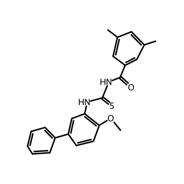 COc1ccc(-c2ccccc2)cc1NC(=S)NC(=O)c1cc(C)cc(C)c1